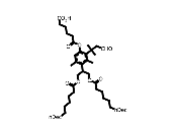 CCCCCCCCCCCCCCCC(=O)OCC(COC(=O)CCCCCCCCCCCCCCC)c1c(C)cc(OC(=O)CCCCC(=O)O)c(C(C)(C)CC=O)c1C